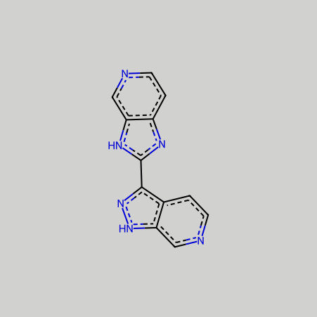 c1cc2nc(-c3n[nH]c4cnccc34)[nH]c2cn1